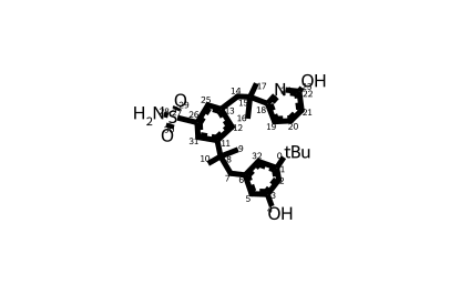 CC(C)(C)c1cc(O)cc(CC(C)(C)c2cc(CC(C)(C)c3cccc(O)n3)cc(S(N)(=O)=O)c2)c1